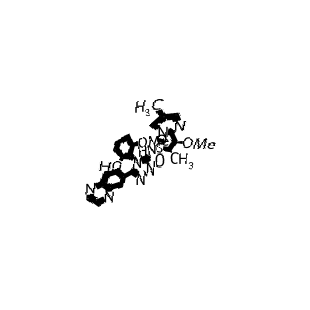 COc1cccc(O)c1-n1c(NS(=O)(=O)[C@@H](C)[C@H](OC)c2ncc(C)cn2)nnc1C1=C=C=c2nccnc2=C1